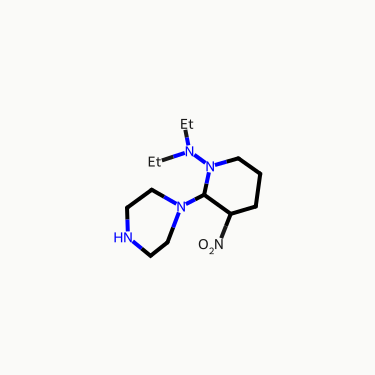 CCN(CC)N1CCCC([N+](=O)[O-])C1N1CCNCC1